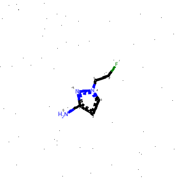 Nc1ccn(CCF)n1